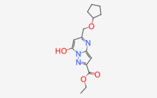 CCOC(=O)c1cc2nc(COC3CCCC3)cc(O)n2n1